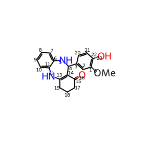 COc1cc(C2Nc3ccccc3NC3=C2C(=O)CCC3)ccc1O